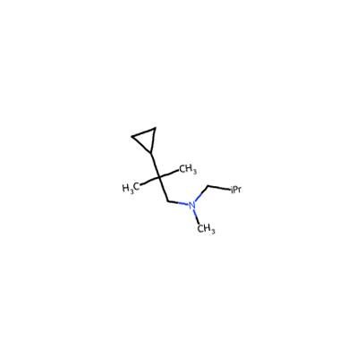 CC(C)CN(C)CC(C)(C)C1CC1